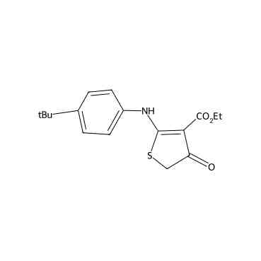 CCOC(=O)C1=C(Nc2ccc(C(C)(C)C)cc2)SCC1=O